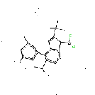 Cc1cc(C)cc(-c2c(C(C)C)ccc3c2C=C(C(C)(C)C)[CH]3[Zr]([Cl])[Cl])c1